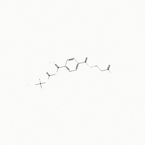 CC(C)(C)OC(=O)NC(=N)c1ccc(C(=O)NCCC(=O)O)cc1